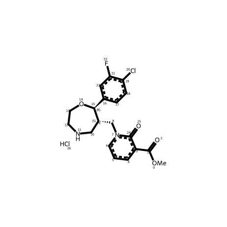 COC(=O)c1cccn(C[C@@H]2CNCCO[C@H]2c2ccc(Cl)c(F)c2)c1=O.Cl